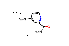 CNC(=O)c1cc(NC)ccn1